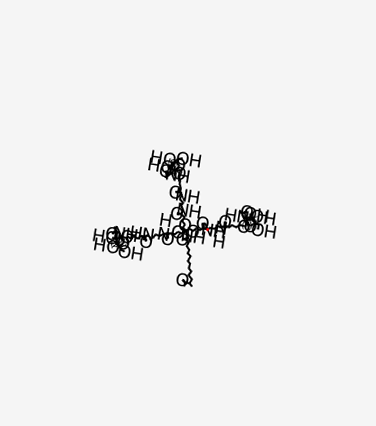 CC(=O)NC1C(O)[C@H](O)C(CO)O[C@H]1OCCCCC(=O)NCCCNC(=O)CCOCC(COCCC(=O)NCCCNC(=O)CCCCO[C@@H]1OC(CO)[C@@H](O)C(O)C1NC(C)=O)(COCCC(=O)NCCCNC(=O)CCCCO[C@@H]1OC(CO)[C@@H](O)C(O)C1NC(C)=O)NC(=O)CCCCCCCCCCCC(C)C(C)=O